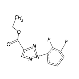 CCOC(=O)c1cnn(-c2cccc(F)c2F)n1